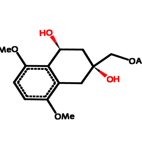 COc1ccc(OC)c2c1C[C@](O)(COC(C)=O)C[C@H]2O